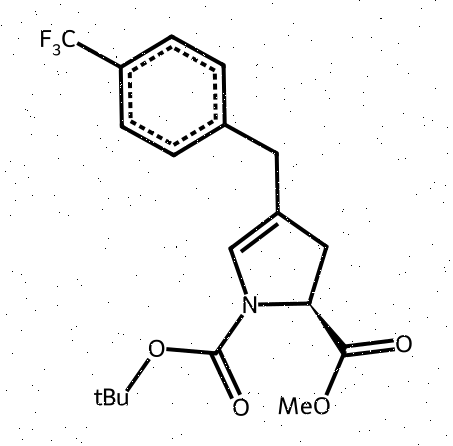 COC(=O)[C@@H]1CC(Cc2ccc(C(F)(F)F)cc2)=CN1C(=O)OC(C)(C)C